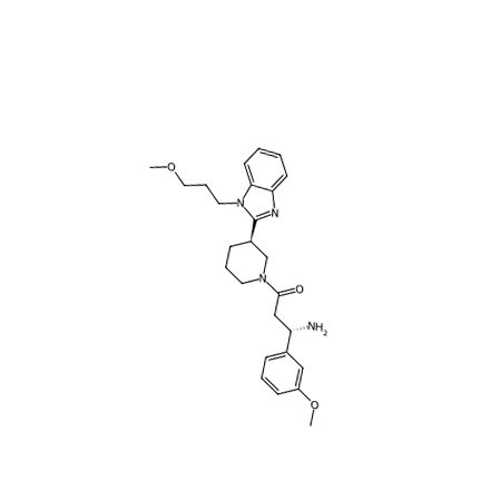 COCCCn1c([C@@H]2CCCN(C(=O)C[C@H](N)c3cccc(OC)c3)C2)nc2ccccc21